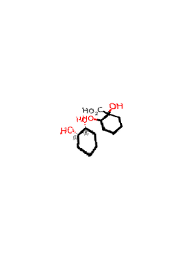 O=C(O)C1(O)CCCCC1O.O[C@@H]1CCCC[C@@H]1O